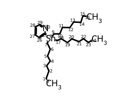 CCCCCCC[CH2][Sn]([CH2]CCCCCCC)([CH2]CCCCCCC)[c]1ccccn1